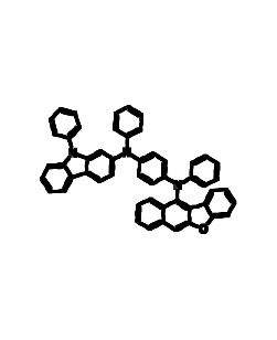 c1ccc(N(c2ccc(N(c3ccccc3)c3c4ccccc4cc4oc5ccccc5c34)cc2)c2ccc3c4ccccc4n(-c4ccccc4)c3c2)cc1